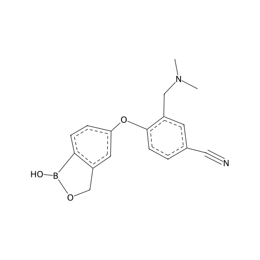 CN(C)Cc1cc(C#N)ccc1Oc1ccc2c(c1)COB2O